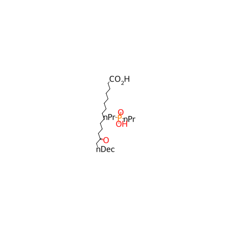 CCCCCCCCCCCC(=O)CCCCCCCCCCCC(=O)O.CCCP(=O)(O)CCC